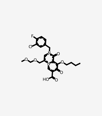 CCCCOc1c(=O)c(C(=O)O)cn2c(COCOC)cn(Cc3ccc(F)c(Cl)c3)c(=O)c12